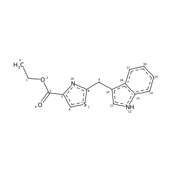 CCOC(=O)c1csc(Cc2c[nH]c3ccccc23)n1